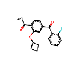 COC(=O)c1ccc(C(=O)c2ccccc2F)cc1OC1CCC1